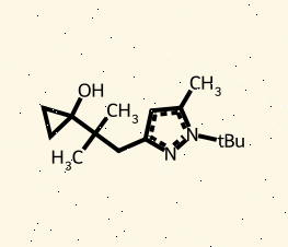 Cc1cc(CC(C)(C)C2(O)CC2)nn1C(C)(C)C